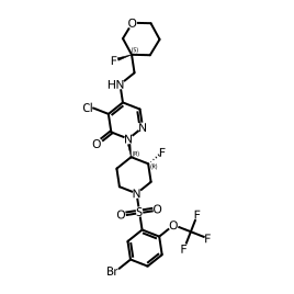 O=c1c(Cl)c(NC[C@@]2(F)CCCOC2)cnn1[C@@H]1CCN(S(=O)(=O)c2cc(Br)ccc2OC(F)(F)F)C[C@H]1F